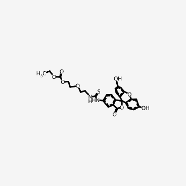 CCOC(=O)OCCOCCNC(=S)Nc1ccc2c(c1)C(=O)OC21c2ccc(O)cc2Oc2cc(O)ccc21